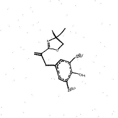 C=C(Cc1cc(C(C)(C)C)c(O)c(C(C)(C)C)c1)C1=NC(C)(C)CO1